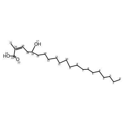 CCCCCCCCCCCCCCCCC(O)CC=C(C)C(=O)O